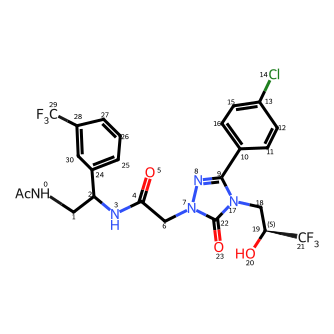 CC(=O)NCC(NC(=O)Cn1nc(-c2ccc(Cl)cc2)n(C[C@H](O)C(F)(F)F)c1=O)c1cccc(C(F)(F)F)c1